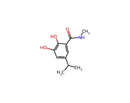 CNC(=O)c1cc(C(C)C)cc(O)c1O